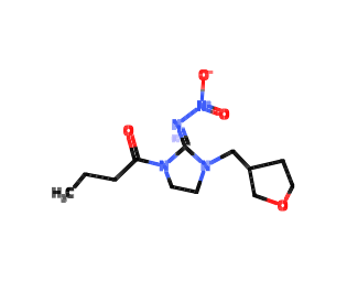 CCCC(=O)N1CCN(CC2CCOC2)/C1=N\[N+](=O)[O-]